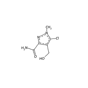 Cn1nc(C(N)=O)c(CO)c1Cl